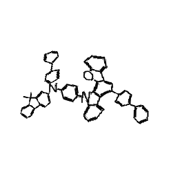 CC1(C)c2ccccc2-c2ccc(N(c3ccc(-c4ccccc4)cc3)c3ccc(-n4c5ccccc5c5c(-c6ccc(-c7ccccc7)cc6)cc6c7ccccc7oc6c54)cc3)cc21